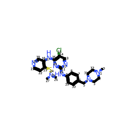 CN1CCN(Cc2ccc(Nc3ncc(Cl)c(Nc4cnccc4SN(C)C)n3)cc2)CC1